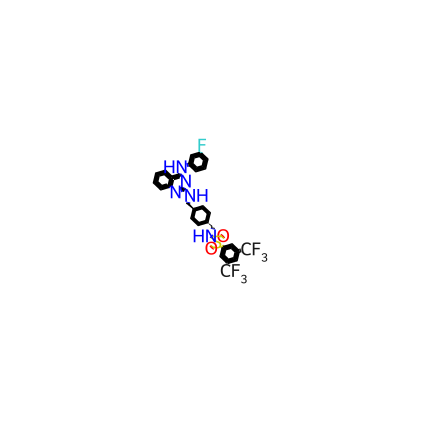 O=S(=O)(NC[C@H]1CC[C@H](CNc2nc(Nc3cccc(F)c3)c3ccccc3n2)CC1)c1cc(C(F)(F)F)cc(C(F)(F)F)c1